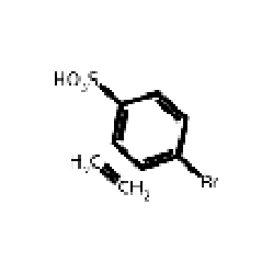 C=C.O=S(=O)(O)c1ccc(Br)cc1